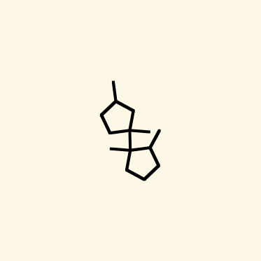 CC1CCC(C)(C2(C)CCCC2C)C1